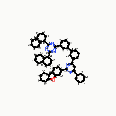 c1ccc(-c2cc(-c3cccc(-c4cccc(-c5nc(-c6cccc7ccccc67)nc(-c6cccc7ccccc67)n5)c4)c3)nc(-c3ccc4c(c3)oc3ccccc34)n2)cc1